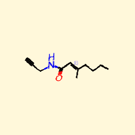 C#CCNC(=O)/C=C(\C)CCCC